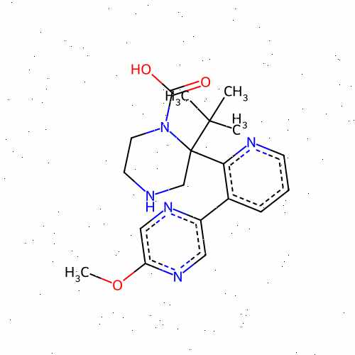 COc1cnc(-c2cccnc2C2(C(C)(C)C)CNCCN2C(=O)O)cn1